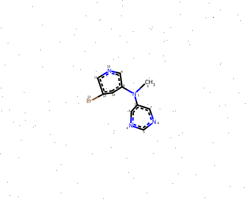 CN(c1cncnc1)c1cncc(Br)c1